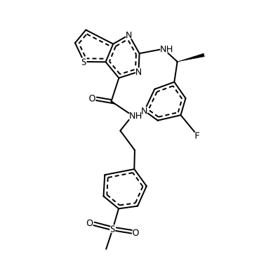 C[C@H](Nc1nc(C(=O)NCCc2ccc(S(C)(=O)=O)cc2)c2sccc2n1)c1cncc(F)c1